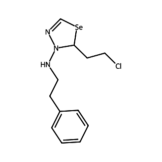 ClCCC1[Se]C=NN1NCCc1ccccc1